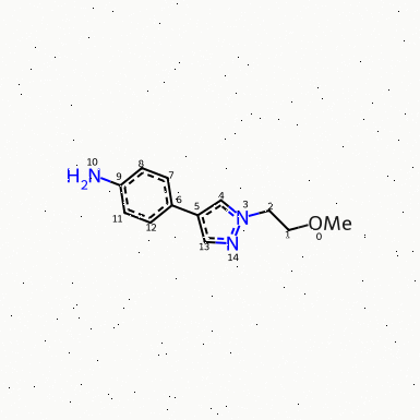 COCCn1cc(-c2ccc(N)cc2)cn1